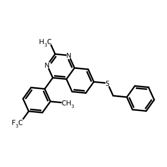 Cc1nc(-c2ccc(C(F)(F)F)cc2C)c2ccc(SCc3ccccc3)cc2n1